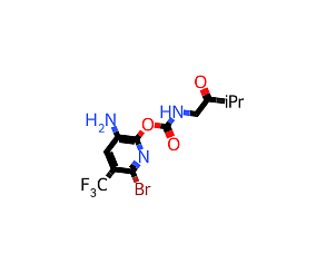 CC(C)C(=O)CNC(=O)Oc1nc(Br)c(C(F)(F)F)cc1N